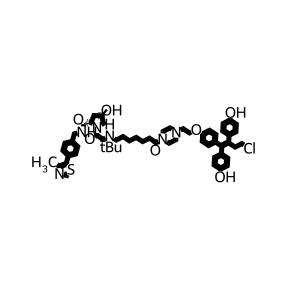 Cc1ncsc1-c1ccc(CNC(=O)[C@@H]2C[C@@H](O)CN2C(=O)C(NCCCCCCC(=O)N2CCN(CCOc3ccc(C(=C(CCCl)c4ccc(O)cc4)c4ccc(O)cc4)cc3)CC2)C(C)(C)C)cc1